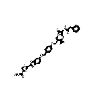 O=C(Cc1ccccc1)NC1C(=O)N2CC(COc3ccc(COc4ccc5nc(C6=N[C@@H](C(=O)O)CS6)sc5c4)cc3)C3(CC3)SC12